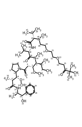 CCC(C)[C@@H]([C@@H](CC(=O)N1CCCC1[C@H](OC)[C@@H](C)C(=O)N[C@H](C)[C@@H](O)c1ccccc1)OC)N(C)C(=O)[C@@H](NC(=O)[C@H](C(C)C)N(C)CCOCCOCCC(=O)C(C)(C)C)C(C)C